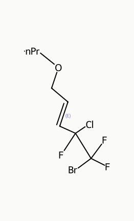 CC[CH]OC/C=C/C(F)(Cl)C(F)(F)Br